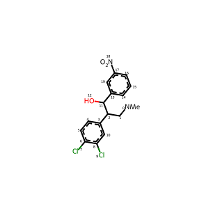 CNCC(c1ccc(Cl)c(Cl)c1)C(O)c1cccc([N+](=O)[O-])c1